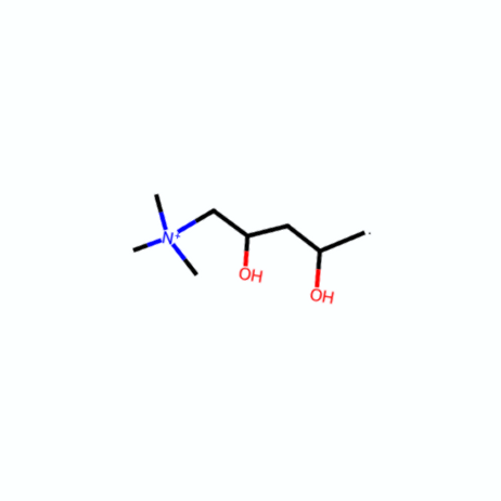 [CH2]C(O)CC(O)C[N+](C)(C)C